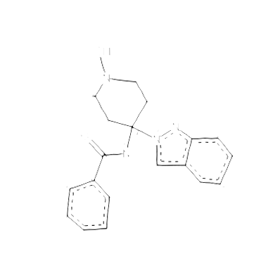 CN1CCC(NC(=O)c2ccccc2)(n2cc3ccccc3n2)CC1